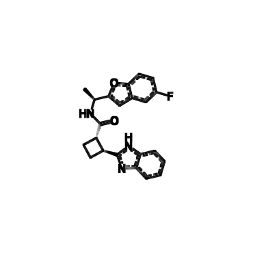 C[C@H](NC(=O)[C@H]1CC[C@@H]1c1nc2ccccc2[nH]1)c1cc2cc(F)ccc2o1